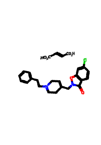 O=C(O)C=CC(=O)O.O=c1c2ccc(Cl)cc2on1CC1CCN(CCc2ccccc2)CC1